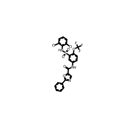 O=C(Nc1ccc(OC(F)(F)F)c(S(=O)(=O)Nc2c(Cl)cccc2Cl)c1)c1cnc(-c2ccccc2)o1